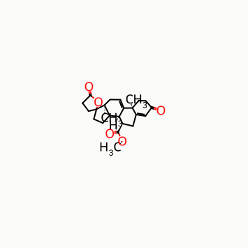 COC(=O)[C@@H]1CC2=CC(=O)CC[C@]2(C)C2=CC[C@@]3(C)C(CCC34CCC(=O)O4)[C@@H]21